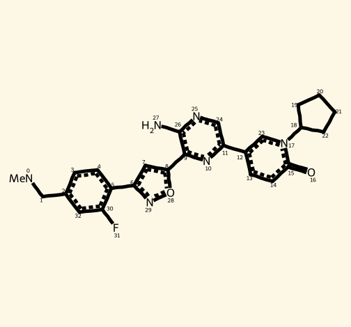 CNCc1ccc(-c2cc(-c3nc(-c4ccc(=O)n(C5CCCC5)c4)cnc3N)on2)c(F)c1